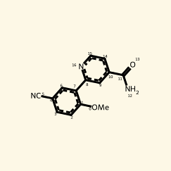 COc1ccc(C#N)cc1-c1cc(C(N)=O)ccn1